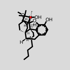 CCCCN1CC[C@]23c4c5ccc(O)c4O[C@H]2[C@@]2(OC)CC[C@@]3(C[C@@H]2[C@](C)(O)C(C)(C)C)[C@H]1C5